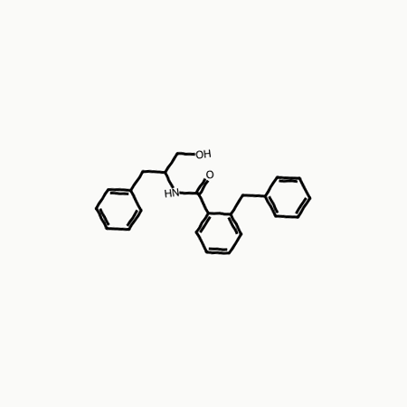 O=C(NC(CO)Cc1ccccc1)c1ccccc1Cc1ccccc1